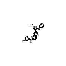 CC(C)c1cnnc(Nc2ccc3ncc(-c4cn(C)nc4NC4CCOCC4)cc3n2)c1